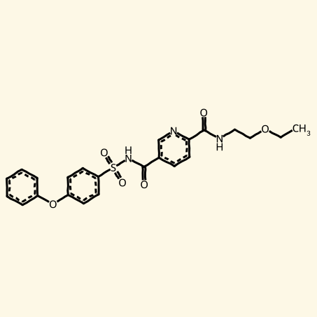 CCOCCNC(=O)c1ccc(C(=O)NS(=O)(=O)c2ccc(Oc3ccccc3)cc2)cn1